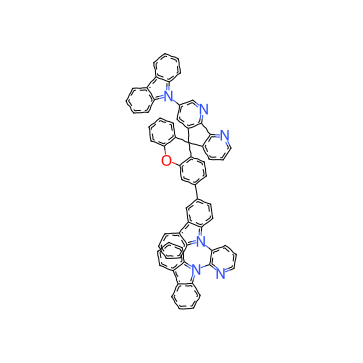 c1ccc2c(c1)Oc1cc(-c3ccc4c(c3)c3ccccc3n4-c3cccnc3-n3c4ccccc4c4ccccc43)ccc1C21c2cccnc2-c2ncc(-n3c4ccccc4c4ccccc43)cc21